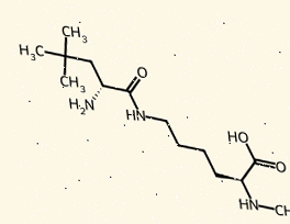 CN[C@@H](CCCCNC(=O)[C@H](N)CC(C)(C)C)C(=O)O